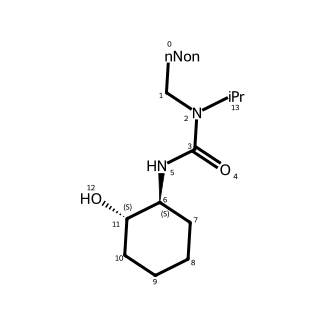 CCCCCCCCCCN(C(=O)N[C@H]1CCCC[C@@H]1O)C(C)C